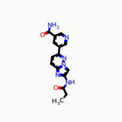 CCC(=O)Nc1cn2nc(-c3cncc(C(N)=O)c3)ccc2n1